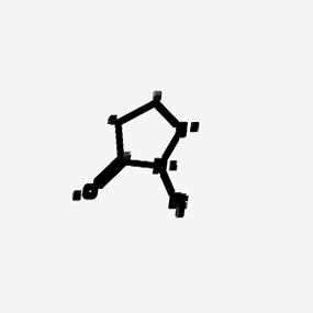 CCN1SCCC1=O